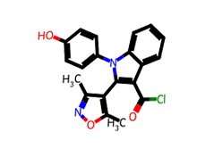 Cc1noc(C)c1-c1c(C(=O)Cl)c2ccccc2n1-c1ccc(O)cc1